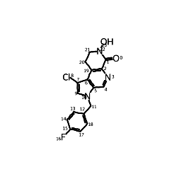 O=C1c2ncc3c(c(Cl)cn3Cc3ccc(F)cc3)c2CCN1O